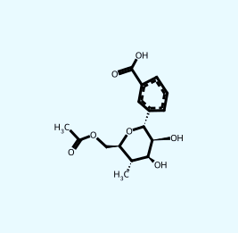 CC(=O)OC[C@H]1O[C@H](c2cccc(C(=O)O)c2)[C@@H](O)[C@@H](O)[C@@H]1C